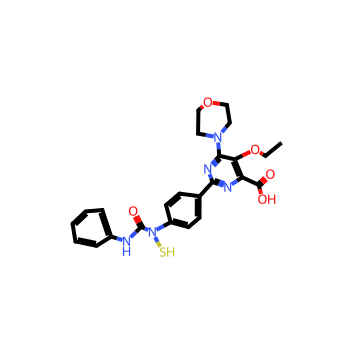 CCOc1c(C(=O)O)nc(-c2ccc(N(S)C(=O)Nc3ccccc3)cc2)nc1N1CCOCC1